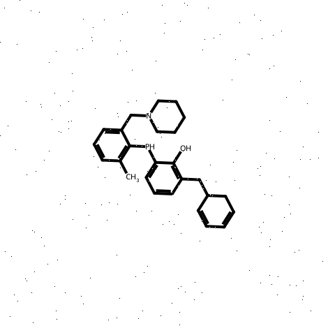 Cc1cccc(CN2CCCCC2)c1Pc1cccc(CC2C=CC=CC2)c1O